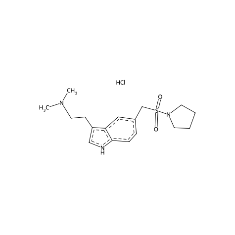 CN(C)CCc1c[nH]c2ccc(CS(=O)(=O)N3CCCC3)cc12.Cl